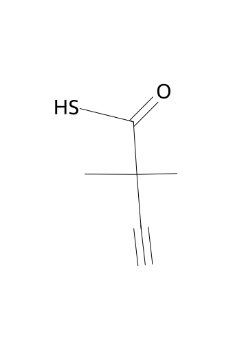 C#CC(C)(C)C(=O)S